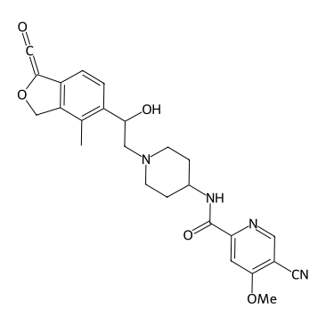 COc1cc(C(=O)NC2CCN(CC(O)c3ccc4c(c3C)COC4=C=O)CC2)ncc1C#N